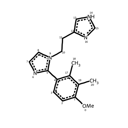 COc1ccc(-c2nccn2CCc2c[nH]cn2)c(C)c1C